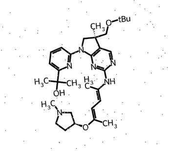 C/C(=C\C=C(/C)O[C@H]1CCN(C)C1)Nc1ncc2c(n1)N(c1cccc(C(C)(C)O)n1)C[C@@]2(C)COC(C)(C)C